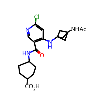 CC(=O)NC12CC(Nc3cc(Cl)ncc3C(=O)NC3CCC(C(=O)O)CC3)(C1)C2